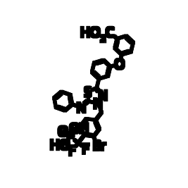 O=C(O)c1cccc(Oc2cccc(-c3nn(Cc4ccc(C(F)(F)P(=O)(O)O)c(Br)c4)c(=Nc4ccccc4)s3)c2)c1